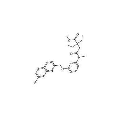 CCC(CC)(CC(=O)N(C)c1cccc(OCc2ccc3ccc(F)cc3n2)c1)C(=O)OC